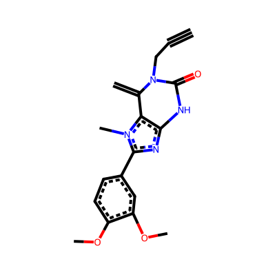 C#CCN1C(=C)c2c(nc(-c3ccc(OC)c(OC)c3)n2C)NC1=O